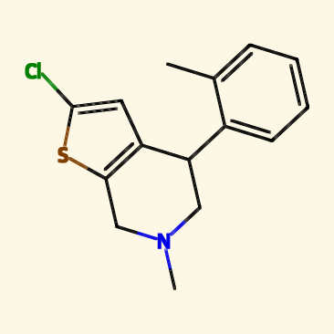 Cc1ccccc1C1CN(C)Cc2sc(Cl)cc21